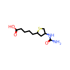 NC(=O)NC1CSC(CCCCC(=O)O)C1